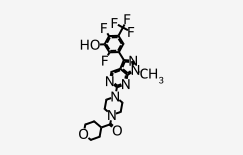 Cn1nc(-c2cc(C(F)(F)F)c(F)c(O)c2F)c2cnc(N3CCN(C(=O)C4CCOCC4)CC3)nc21